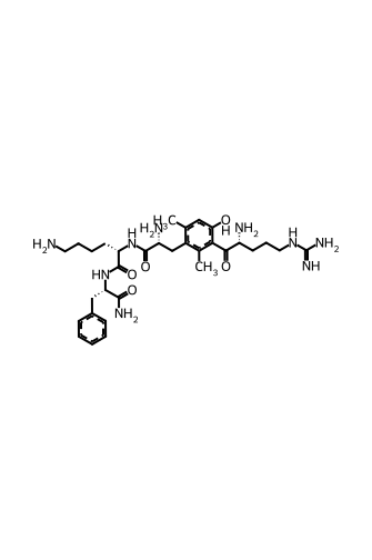 Cc1cc(O)c(C(=O)[C@H](N)CCCNC(=N)N)c(C)c1C[C@@H](N)C(=O)N[C@@H](CCCCN)C(=O)N[C@@H](Cc1ccccc1)C(N)=O